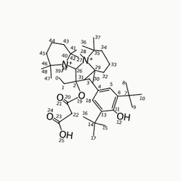 CCC(Cc1cc(C(C)(C)C)c(O)c(C(C)(C)C)c1)(OC(=O)CC(=O)O)C([N+]1(C)C(C)(C)CCCC1(C)C)[N+]1(C)C(C)(C)CCCC1(C)C